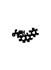 CC(=O)N(O)CC1=Cc2cc(-c3ccccc3)ccc2CC1